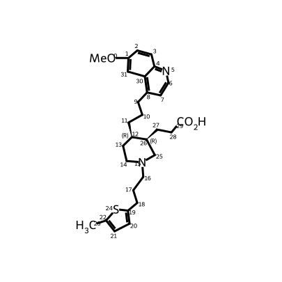 COc1ccc2nccc(CCC[C@@H]3CCN(CCCc4ccc(C)s4)C[C@@H]3CCC(=O)O)c2c1